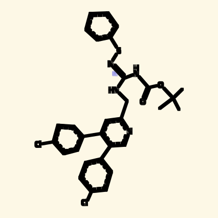 CC(C)(C)OC(=O)N/C(=N\Sc1ccccc1)NCc1cc(-c2ccc(Cl)cc2)c(-c2ccc(Cl)cc2)cn1